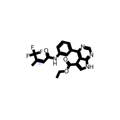 CCOC(=O)c1c[nH]c2ncnc(-c3cccc(NC(=O)/C=C(/C)C(F)(F)F)c3)c12